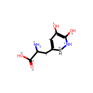 NC(CC1=CC(O)=C(O)NB1)C(=O)O